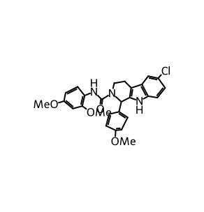 COc1ccc(C2c3[nH]c4ccc(Cl)cc4c3CCN2C(=O)Nc2ccc(OC)cc2OC)cc1